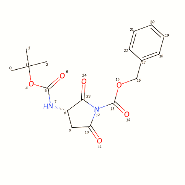 CC(C)(C)OC(=O)N[C@H]1CC(=O)N(C(=O)OCc2ccccc2)C1=O